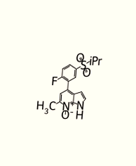 Cc1cc(-c2cc(S(=O)(=O)C(C)C)ccc2F)c2cc[nH]c2[n+]1[O-]